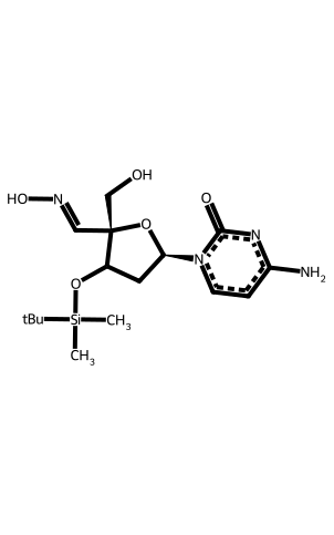 CC(C)(C)[Si](C)(C)OC1C[C@H](n2ccc(N)nc2=O)O[C@]1(C=NO)CO